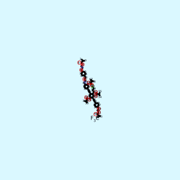 C=C(C)C(=O)O/C=C/Oc1ccc(CO/C=C/c2ccc(C#Cc3cc(OC(=O)C(=C)C)c(C#Cc4ccc(OCOC(=O)C(=C)C(F)(F)F)cc4)c(OC(=O)C(=C)C)c3CCCF)cc2OC(=O)C(=C)C)cc1